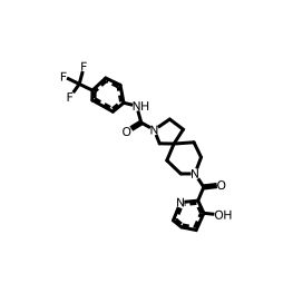 O=C(Nc1ccc(C(F)(F)F)cc1)N1CCC2(CCN(C(=O)c3ncccc3O)CC2)C1